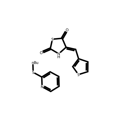 CCCCSc1ccccn1.O=C1NC(=Cc2ccsc2)C(=O)S1